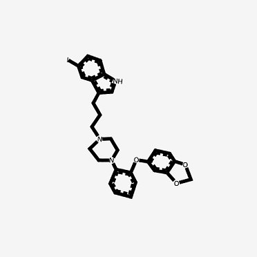 Ic1ccc2[nH]cc(CCCN3CCN(c4ccccc4Oc4ccc5c(c4)OCO5)CC3)c2c1